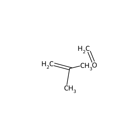 C=C(C)C.C=O